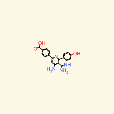 N=C(N)c1c(N)cc(-c2ccc(C(=O)O)cc2)nc1-c1ccc(O)cc1